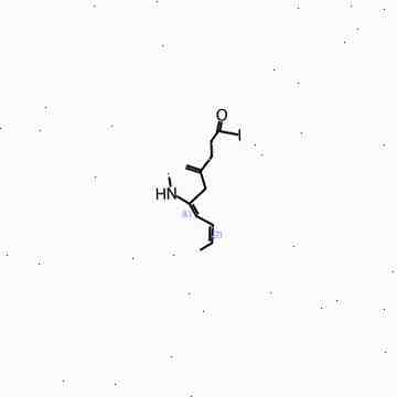 C=C(CCC(=O)I)C/C(=C\C=C/C)NC